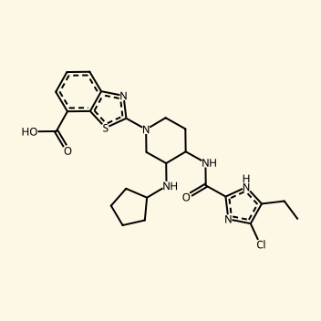 CCc1[nH]c(C(=O)NC2CCN(c3nc4cccc(C(=O)O)c4s3)CC2NC2CCCC2)nc1Cl